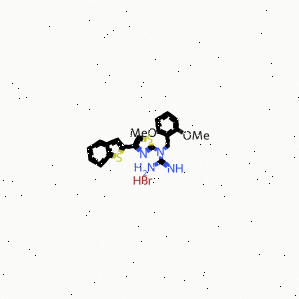 Br.COc1cccc(OC)c1CN(C(=N)N)c1nc(-c2cc3ccccc3s2)cs1